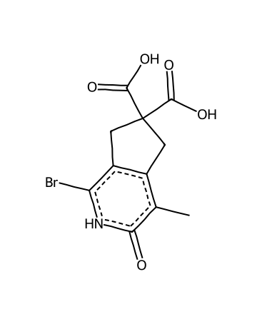 Cc1c2c(c(Br)[nH]c1=O)CC(C(=O)O)(C(=O)O)C2